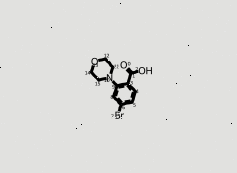 O=C(O)c1ccc(Br)cc1N1CCOCC1